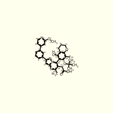 COc1cc(-c2cccc(-c3cc4nc(C)c([C@H](OC(C)(C)C)C(=O)O)c(-c5cc(F)c6c(c5C)CCCO6)n4n3)c2)ccn1